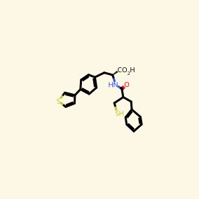 O=C(N[C@@H](Cc1ccc(-c2ccsc2)cc1)C(=O)O)C(CS)Cc1ccccc1